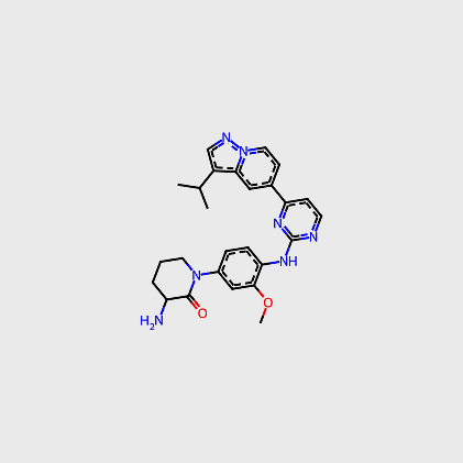 COc1cc(N2CCCC(N)C2=O)ccc1Nc1nccc(-c2ccn3ncc(C(C)C)c3c2)n1